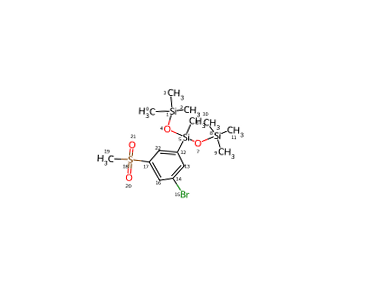 C[Si](C)(C)O[Si](C)(O[Si](C)(C)C)c1cc(Br)cc(S(C)(=O)=O)c1